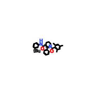 Cc1cc(C)c(C(=O)N2CCC[C@H](C(=O)Nc3cccc(C(C)(C)C)c3)[C@@H]2c2ccccc2)c(C)c1